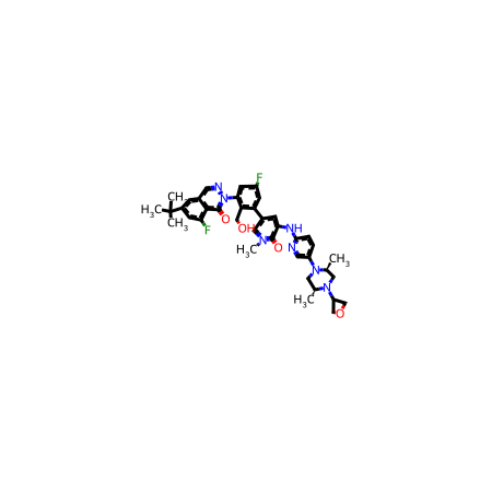 C[C@@H]1CN(c2ccc(Nc3cc(-c4cc(F)cc(-n5ncc6cc(C(C)(C)C)cc(F)c6c5=O)c4CO)cn(C)c3=O)nc2)[C@@H](C)CN1C1COC1